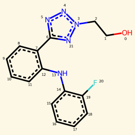 OCCn1nnc(-c2ccccc2Nc2ccccc2F)n1